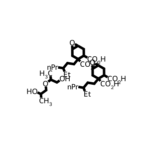 CC(O)COC(C)CO.CCCC(CC)CCC1(C(=O)O)CC2OC2CC1C(=O)O.CCCC(CC)CCC1(C(=O)O)CC2OC2CC1C(=O)O